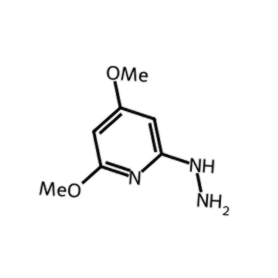 COc1cc(NN)nc(OC)c1